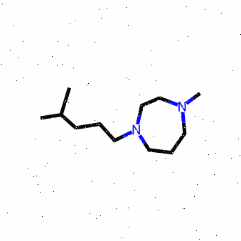 CC(C)CCCN1CCCN(C)CC1